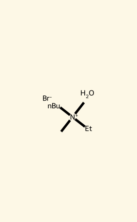 CCCC[N+](C)(C)CC.O.[Br-]